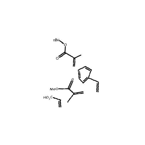 C=C(C)C(=O)OC.C=C(C)C(=O)OCCCC.C=CC(=O)O.C=Cc1ccccc1